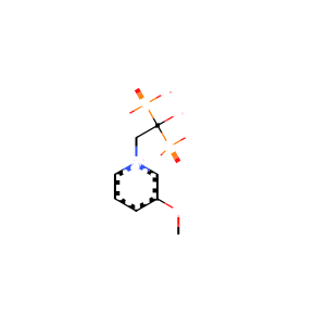 COc1ccc[n+](CC(O)(P(=O)(O)O)P(=O)(O)O)c1